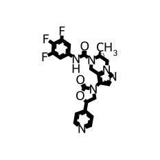 C[C@H]1Cn2ncc(N3CC(c4ccncc4)OC3=O)c2CN1C(=O)Nc1cc(F)c(F)c(F)c1